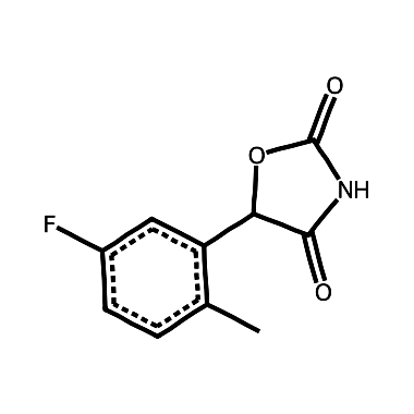 Cc1ccc(F)cc1C1OC(=O)NC1=O